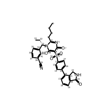 CCCCc1nc(=O)c(S(=O)(=O)c2ccc(-c3cccc4c3CNC4=O)cc2)c(O)n1[C@@H](CC)c1cccc(C#N)c1